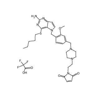 CCCCCSc1nc(N)nc2ccn(Cc3ccc(CN4CCN(CCN5C(=O)C=CC5=O)CC4)cc3OC)c12.O=C(O)C(F)(F)F